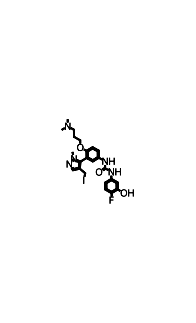 CN(C)CCCOc1ccc(NC(=O)Nc2ccc(F)c(O)c2)cc1-c1c(CI)cnn1C